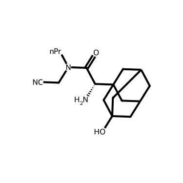 CCCN(CC#N)C(=O)[C@@H](N)C12CC3CC(CC(O)(C3)C1)C2